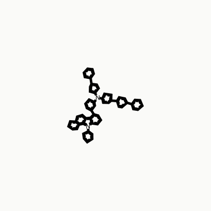 c1ccc(-c2ccc(-c3ccc(N(c4ccc(-c5ccccc5)cc4)c4cccc(-c5cccc6c5c5ccc7ccccc7c5n6-c5ccccc5)c4)cc3)cc2)cc1